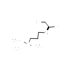 CCC(CC(C)C)=NCCC[Si](OC)(OC)OC